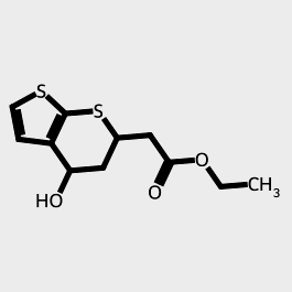 CCOC(=O)CC1CC(O)c2ccsc2S1